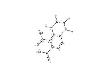 COC(C)c1ccc(C(=O)O)c(C(=O)O)c1C(C)OC